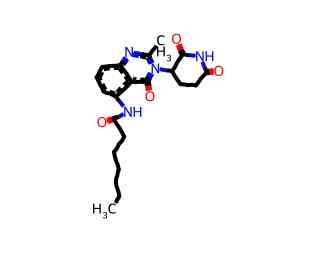 CCCCCCC(=O)Nc1cccc2nc(C)n(C3CCC(=O)NC3=O)c(=O)c12